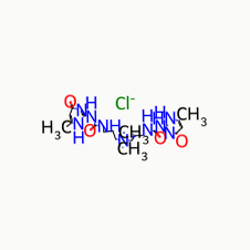 Cc1cc(=O)nc(NC(=O)NCCC[N+](C)(C)CCCNC(=O)Nc2nc(=O)cc(C)[nH]2)[nH]1.[Cl-]